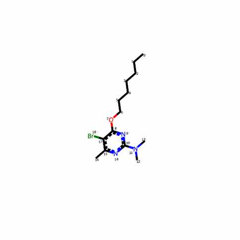 CCCCCCCOc1nc(N(C)C)nc(C)c1Br